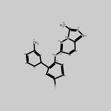 CC1=CC(c2cc(F)ccc2Oc2ccc3nnc(C)n3n2)CC=C1